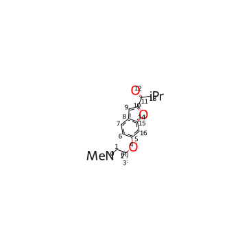 CNC[C@@H](C)Oc1ccc2cc(C(=O)C(C)C)oc2c1